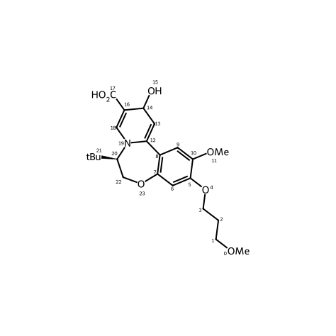 COCCCOc1cc2c(cc1OC)C1=CC(O)C(C(=O)O)=CN1[C@H](C(C)(C)C)CO2